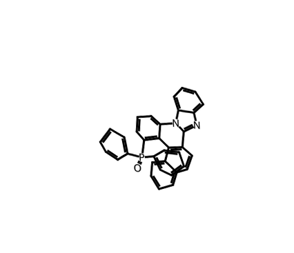 O=P(c1ccccc1)(c1ccccc1)c1cccc2c1c1c3ccccc3ccc1c1nc3ccccc3n21